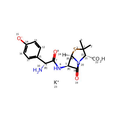 CC1(C)S[C@@H]2[C@H](NC(=O)[C@H](N)c3ccc([O-])cc3)C(=O)N2[C@H]1C(=O)O.[K+]